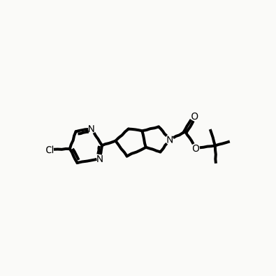 CC(C)(C)OC(=O)N1CC2CC(c3ncc(Cl)cn3)CC2C1